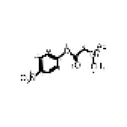 CC(=O)N(C)CC(=O)Oc1ccc([N+](=O)[O-])cc1